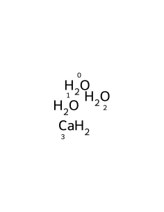 O.O.O.[CaH2]